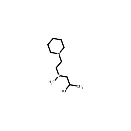 CC(O)CN(C)CCN1CCCCC1